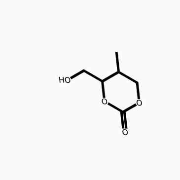 CC1COC(=O)OC1CO